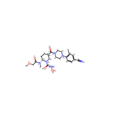 COCC(=O)N(C)[C@@H]1CC[C@@H](C(=O)N2CCN(c3ccc(C#N)cc3C)CC2)CN1C(=O)NO